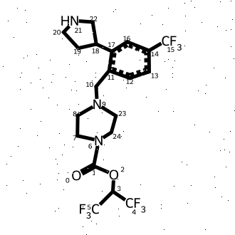 O=C(OC(C(F)(F)F)C(F)(F)F)N1CCN(Cc2ccc(C(F)(F)F)cc2C2CCNC2)CC1